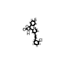 O=C1NC(c2cc(C#Cc3ccccc3Cl)ccn2)C(c2ccc(F)cc2)O1